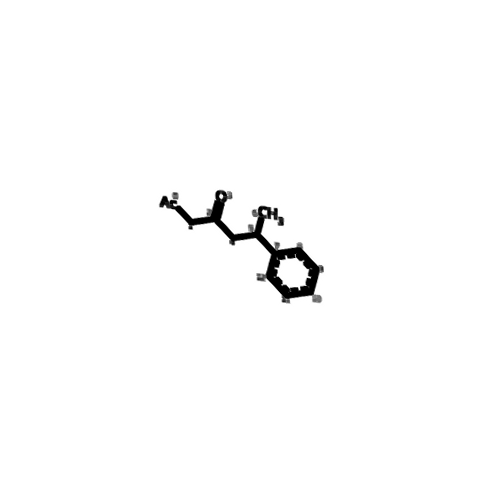 CC(=O)CC(=O)CC(C)c1ccccc1